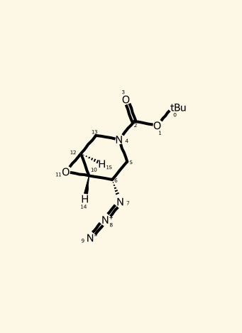 CC(C)(C)OC(=O)N1C[C@H](N=[N+]=[N-])[C@@H]2O[C@H]2C1